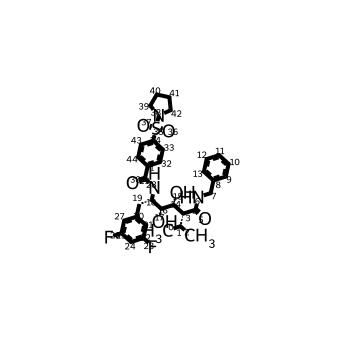 CC(C)[C@@H](C(=O)NCc1ccccc1)[C@@H](O)[C@H](O)[C@H](Cc1cc(F)cc(F)c1)NC(=O)c1ccc(S(=O)(=O)N2CCCC2)cc1